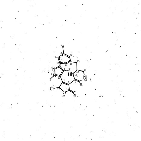 Cc1cnn(C)c1C1=C(C(=O)N[C@H](CN)Cc2cccc(F)c2)C(=O)OC1Cl